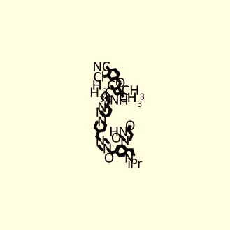 CC(C)n1ccc2c(N3CCC(=O)NC3=O)cc(C(=O)N3CCN(CC4CCN(c5ccc(C(=O)NC6C(C)(C)C(Oc7ccc(C#N)c(Cl)c7)C6(C)C)nn5)CC4)CC3)cc21